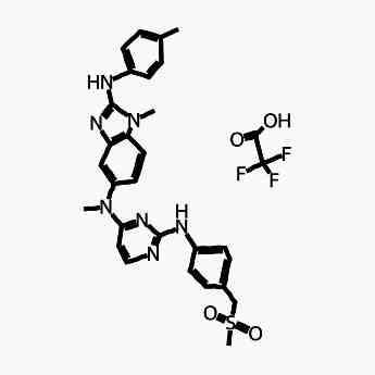 Cc1ccc(Nc2nc3cc(N(C)c4ccnc(Nc5ccc(CS(C)(=O)=O)cc5)n4)ccc3n2C)cc1.O=C(O)C(F)(F)F